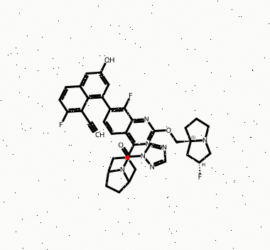 C#Cc1c(F)ccc2cc(O)cc(-c3ccc4c(N5CC6CCC(C5)N6C(=O)n5cncn5)nc(OC[C@@]56CCCN5C[C@H](F)C6)nc4c3F)c12